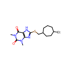 CCC1CCCC(CSc2nc3c([nH]2)c(=O)n(C)c(=O)n3C)CC1